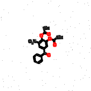 CC(C)(C)C(=O)Oc1cc(C(=O)c2ccccc2)cc([N+](=O)[O-])c1OC(=O)C(C)(C)C